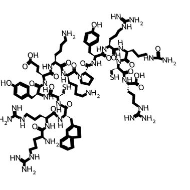 N=C(N)NCCC[C@H](NC(=O)[C@H](CS)NC(=O)[C@H](CCCNC(N)=O)NC(=O)[C@H](CCCNC(=N)N)NC(=O)[C@H](Cc1ccc(O)cc1)NC(=O)[C@@H]1CCCN1C(=O)[C@@H](CCCCN)NC(=O)[C@H](CCCCN)NC(=O)[C@H](CCC(=O)O)NC(=O)[C@H](Cc1ccc(O)cc1)NC(=O)[C@H](CS)NC(=O)[C@H](Cc1ccc2ccccc2c1)NC(=O)[C@H](CCCNC(=N)N)NC(=O)[C@@H](N)CCCNC(=N)N)C(=O)O